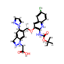 C[C@H](Oc1cc2cc(F)ccc2nc1NC(=O)OC(C)(C)C)c1cc2c(cnn2CC(=O)O)cc1-n1cccn1